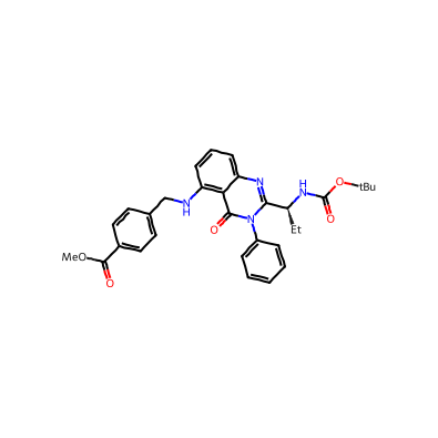 CC[C@H](NC(=O)OC(C)(C)C)c1nc2cccc(NCc3ccc(C(=O)OC)cc3)c2c(=O)n1-c1ccccc1